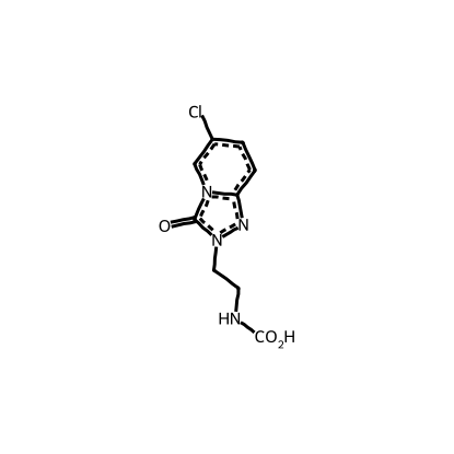 O=C(O)NCCn1nc2ccc(Cl)cn2c1=O